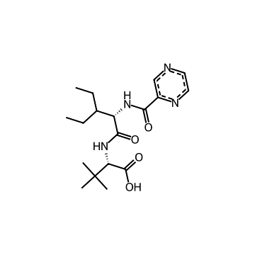 CCC(CC)[C@H](NC(=O)c1cnccn1)C(=O)N[C@H](C(=O)O)C(C)(C)C